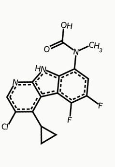 CN(C(=O)O)c1cc(F)c(F)c2c1[nH]c1ncc(Cl)c(C3CC3)c12